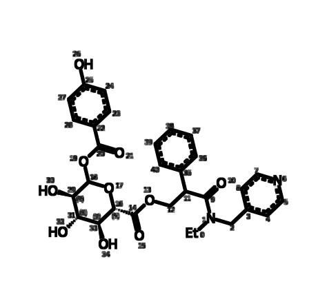 CCN(Cc1ccncc1)C(=O)C(COC(=O)[C@H]1OC(OC(=O)c2ccc(O)cc2)[C@H](O)[C@@H](O)[C@@H]1O)c1ccccc1